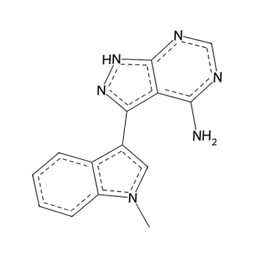 Cn1cc(-c2n[nH]c3ncnc(N)c23)c2ccccc21